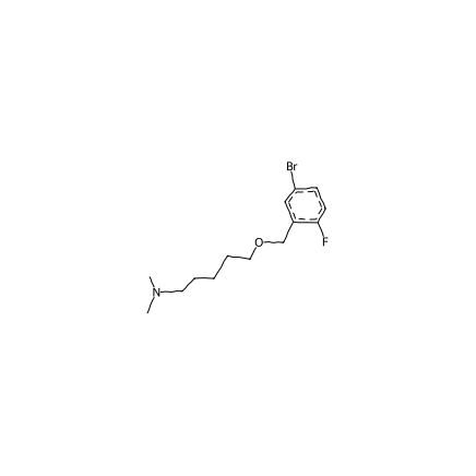 CN(C)CCCCCOCc1cc(Br)ccc1F